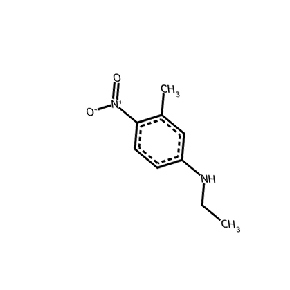 CCNc1ccc([N+](=O)[O-])c(C)c1